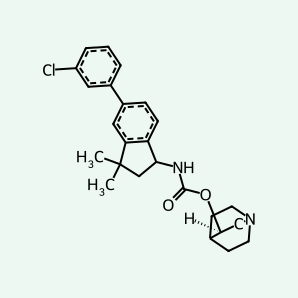 CC1(C)CC(NC(=O)O[C@H]2CN3CCC2CC3)c2ccc(-c3cccc(Cl)c3)cc21